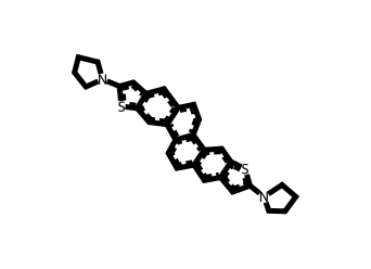 c1c(N2CCCC2)sc2cc3c(ccc4c5cc6sc(N7CCCC7)cc6cc5ccc34)cc12